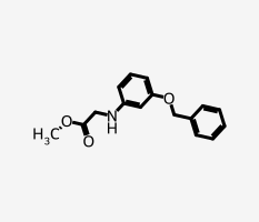 COC(=O)CNc1cccc(OCc2ccccc2)c1